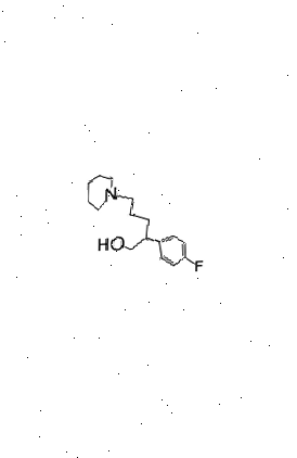 OCC(CCCN1CCCCC1)c1ccc(F)cc1